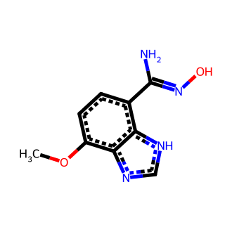 COc1ccc(C(N)=NO)c2[nH]cnc12